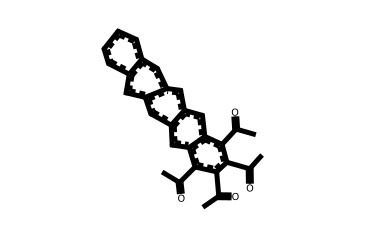 CC(=O)c1c(C(C)=O)c(C(C)=O)c2cc3cc4cc5ccccc5cc4cc3cc2c1C(C)=O